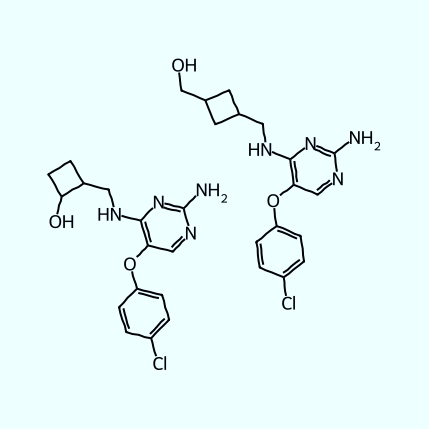 Nc1ncc(Oc2ccc(Cl)cc2)c(NCC2CC(CO)C2)n1.Nc1ncc(Oc2ccc(Cl)cc2)c(NCC2CCC2O)n1